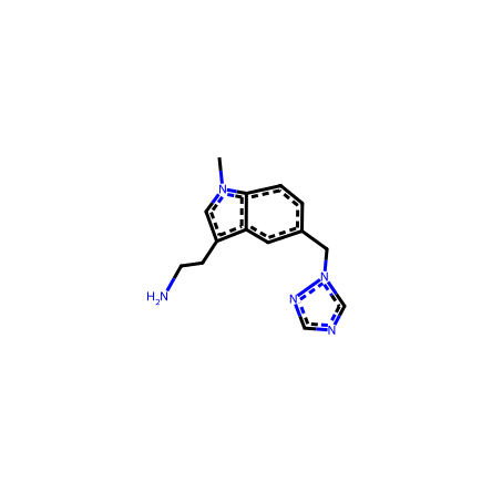 Cn1cc(CCN)c2cc(Cn3cncn3)ccc21